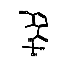 COc1cccc(C(=O)NC(C)(O)C(C)C)c1C